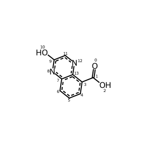 O=C(O)c1cccc2nc(O)cnc12